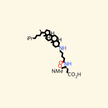 CNC(=O)[C@H](CCC(=O)O)NC(=O)CCCCNC1CCC2(C)C3CCC4(C)C([C@H](C)CCCC(C)C)CC[C@H]4[C@@H]3CC[C@H]2C1